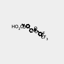 CC(C)(Oc1cccc([C@@H]2CCCN(C(=O)OCc3ccc(C(F)(F)F)c(F)c3)C2)c1)C(=O)O